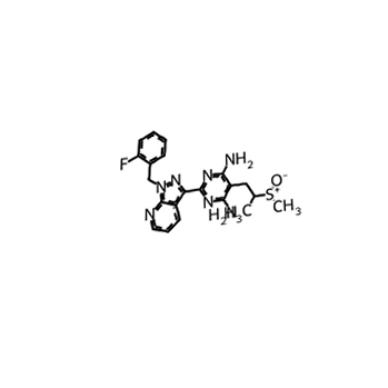 CC(Cc1c(N)nc(-c2nn(Cc3ccccc3F)c3ncccc23)nc1N)[S+](C)[O-]